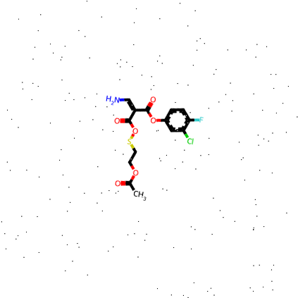 CC(=O)OCCSOC(=O)C(=CN)C(=O)Oc1ccc(F)c(Cl)c1